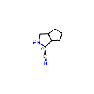 N#C[C@H]1NCC2CCCC21